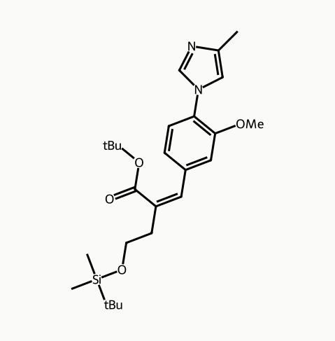 COc1cc(C=C(CCO[Si](C)(C)C(C)(C)C)C(=O)OC(C)(C)C)ccc1-n1cnc(C)c1